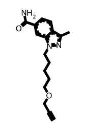 C#CCOCCCCCn1nc(C)c2ccc(C(N)=O)cc21